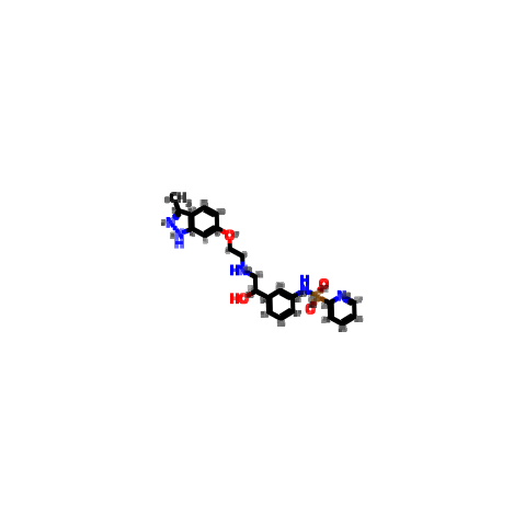 Cc1n[nH]c2cc(OCCNCC(O)c3cccc(NS(=O)(=O)c4ccccn4)c3)ccc12